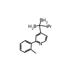 BC(B)(c1ccnc(-c2ccccc2C)c1)C(C)C